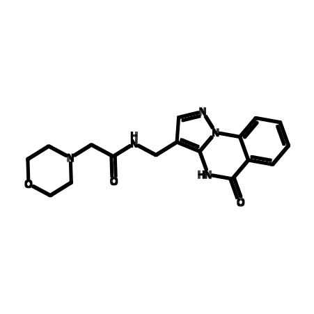 O=C(CN1CCOCC1)NCc1cnn2c1[nH]c(=O)c1ccccc12